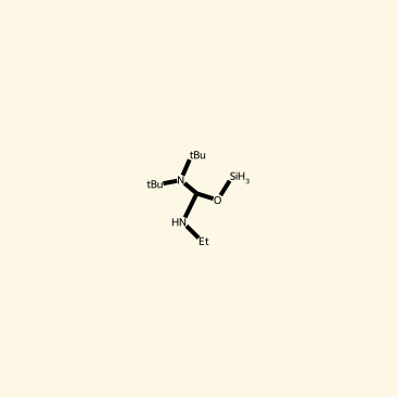 CCNC(O[SiH3])N(C(C)(C)C)C(C)(C)C